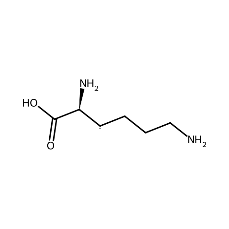 NCCC[CH][C@H](N)C(=O)O